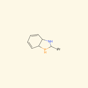 CC(C)C1NC2C=CC=CC2P1